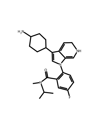 CC(C)N(C)C(=O)c1cc(F)ccc1-n1cc(C2CCC(N)CC2)c2c1=CNCC=2